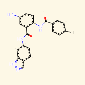 CC(C)(C)c1ccc(C(=O)Nc2ccc(N)cc2C(=O)Nc2ccc3cn[nH]c3c2)cc1